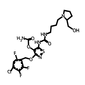 NC(=O)Oc1c(OCc2c(F)cc(Cl)c(F)c2F)nsc1NC(=O)NCCCCN1CCCC1CO